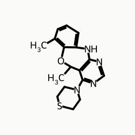 Cc1cccc2c1OC(C)c1c(ncnc1N1CCSCC1)N2